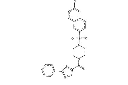 O=C(c1cnc(-c2ccncc2)s1)N1CCN(S(=O)(=O)c2ccc3cc(Cl)ccc3c2)CC1